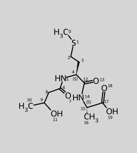 CSCC[C@H](NC(=O)CC(C)O)C(=O)N[C@@H](C)C(=O)O